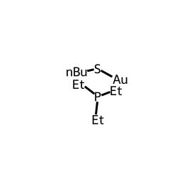 CCCC[S][Au].CCP(CC)CC